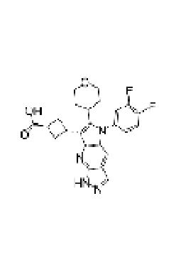 O=C(O)[C@H]1C[C@H](c2c(C3CCOCC3)n(-c3ccc(F)c(F)c3)c3cc4cn[nH]c4nc32)C1